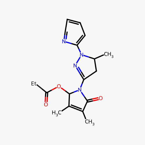 CCC(=O)OC1C(C)=C(C)C(=O)N1C1=NN(c2ccccn2)C(C)C1